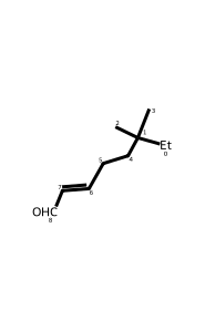 CCC(C)(C)CCC=CC=O